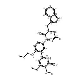 CCCOc1ccc(NC(=O)C(Cc2c[nH]c3ccccc23)NC(C)=O)cc1-c1nc(CC)c(CC)c(=O)[nH]1